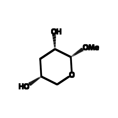 CO[C@@H]1OC[C@H](O)C[C@@H]1O